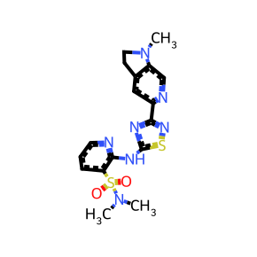 CN1CCc2cc(-c3nsc(Nc4ncccc4S(=O)(=O)N(C)C)n3)ncc21